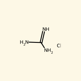 N=C(N)N.[C]